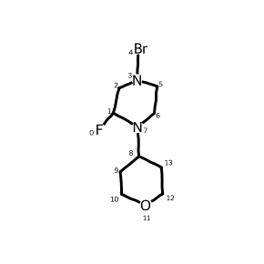 FC1CN(Br)CCN1C1CCOCC1